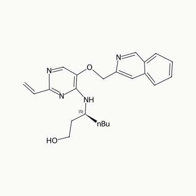 C=Cc1ncc(OCc2cc3ccccc3cn2)c(N[C@H](CCO)CCCC)n1